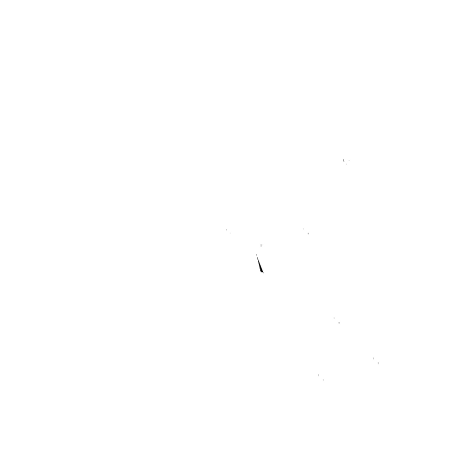 CCC[C@H](NC(=O)[C@@H](CCCNC(=N)N)NC(=O)OCC1c2ccccc2-c2ccccc21)C(=O)OC